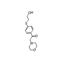 O=C(CN1CCOCC1)c1ccc(SCCO)cc1